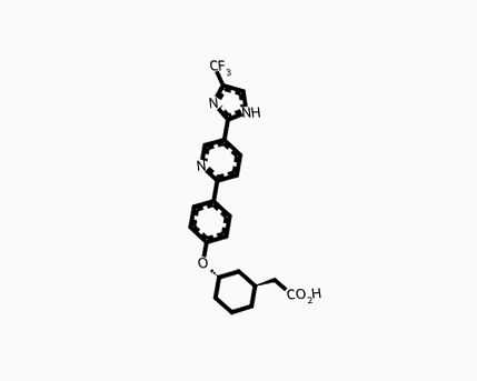 O=C(O)C[C@H]1CCC[C@H](Oc2ccc(-c3ccc(-c4nc(C(F)(F)F)c[nH]4)cn3)cc2)C1